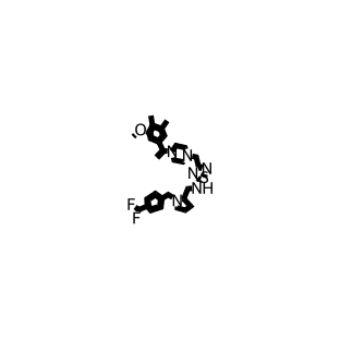 C=C(c1cc(C)c(C)c(OC)c1)N1CCN(Cc2nsc(NCC3CCCN3Cc3ccc(C(F)F)cc3)n2)CC1